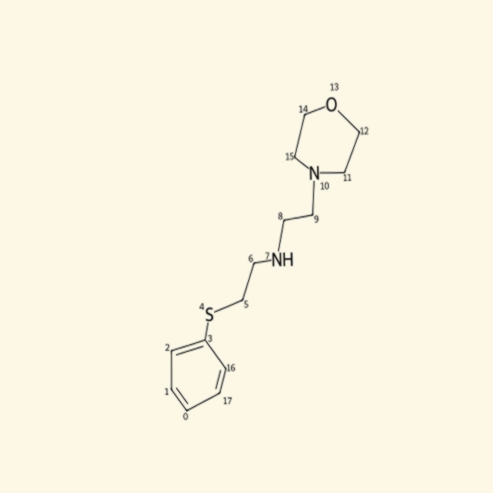 c1ccc(SCCNCCN2CCOCC2)cc1